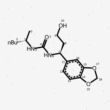 [CH2][C@@H](CCCC)NC(=O)N[C@@H](CCO)c1ccc2c(c1)OCO2